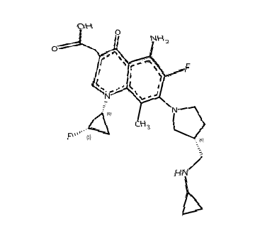 Cc1c(N2CC[C@H](CNC3CC3)C2)c(F)c(N)c2c(=O)c(C(=O)O)cn([C@@H]3C[C@@H]3F)c12